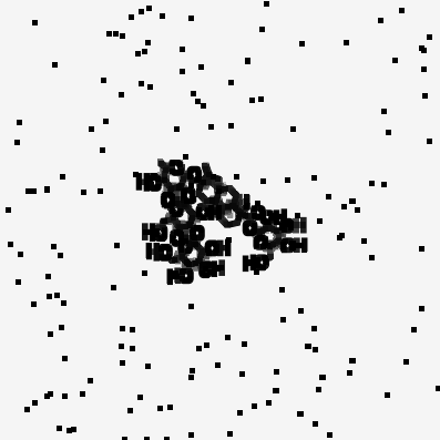 C=C1C[C@@]23CC[C@H]4[C@@](C)(CCC[C@@]4(C)C(=O)O[C@@H]4O[C@H](CO)[C@@H](O)[C@H](O)[C@H]4O)[C@@H]2CC[C@]1(O[C@@H]1O[C@H](C)[C@@H](O)[C@H](O)[C@@H]1O[C@@H]1O[C@H](CO)[C@@H](O)[C@H](O[C@@H]2O[C@H](CO)[C@@H](O)[C@H](O)[C@H]2O)[C@H]1O)C3